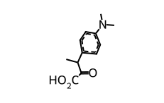 CC(C(=O)C(=O)O)c1ccc(N(C)C)cc1